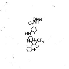 CONC(=O)c1ccc(C)c(Nc2cnc3c(-c4ccccc4F)c(=O)n(C(F)(F)F)n3c2)c1